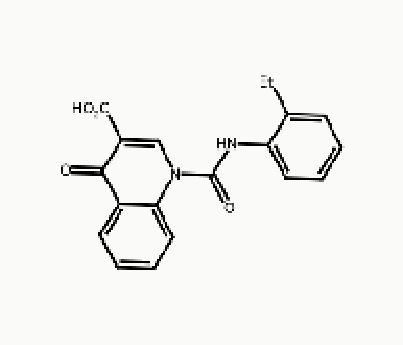 CCc1ccccc1NC(=O)n1cc(C(=O)O)c(=O)c2ccccc21